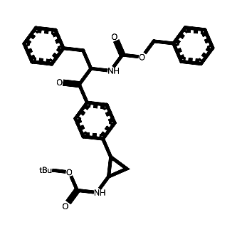 CC(C)(C)OC(=O)NC1CC1c1ccc(C(=O)C(Cc2ccccc2)NC(=O)OCc2ccccc2)cc1